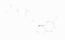 CC1(C)CC(SCc2noc3ccc(F)cc23)=NO1